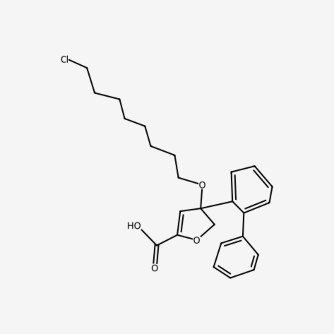 O=C(O)C1=CC(OCCCCCCCCCl)(c2ccccc2-c2ccccc2)CO1